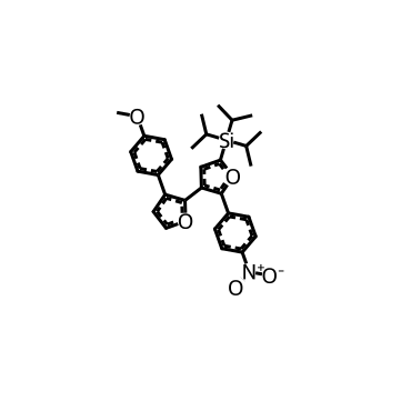 COc1ccc(-c2ccoc2-c2cc([Si](C(C)C)(C(C)C)C(C)C)oc2-c2ccc([N+](=O)[O-])cc2)cc1